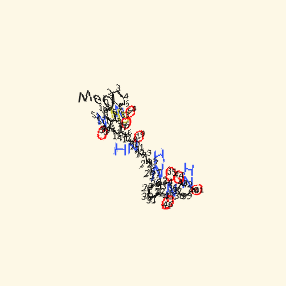 COc1ccccc1N(c1ccc2c3c(cc(CCC(=O)NCCCCCCNc4cccc5c4C(=O)N(C4CCC(=O)NC4=O)C5=O)cc13)C(=O)N2C)[SH](=O)=O